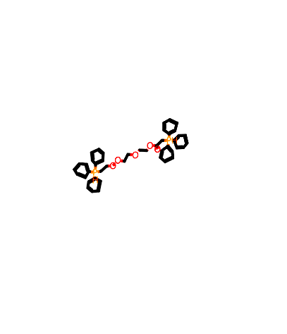 O=C(C[PH](c1ccccc1)(c1ccccc1)c1ccccc1)OCCOCCOOCC[PH](c1ccccc1)(c1ccccc1)c1ccccc1